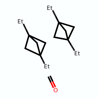 C=O.CCC12CC(CC)(C1)C2.CCC12CC(CC)(C1)C2